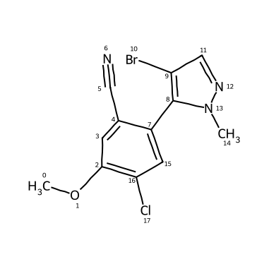 COc1cc(C#N)c(-c2c(Br)cnn2C)cc1Cl